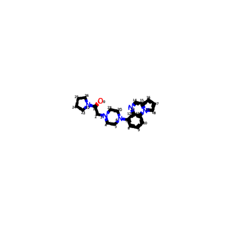 O=C(CN1CCN(c2cccc3c2ncc2cccn23)CC1)N1CCCC1